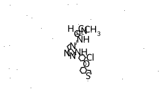 CN(C)CC(=O)NCCn1ccc2ncnc(Nc3ccc(Oc4cccc5sccc45)c(Cl)c3)c21